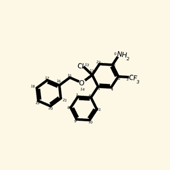 NC1=C(C(F)(F)F)C=C(c2ccccc2)C(Cl)(OCc2ccccc2)C1